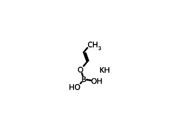 CC=COB(O)O.[KH]